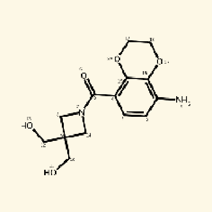 Nc1ccc(C(=O)N2CC(CO)(CO)C2)c2c1OCCO2